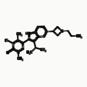 CCCN1CC(c2ccc3[nH]c(-c4cn(C)c(=O)c(Cl)c4C)c(C(C)C)c3c2)C1